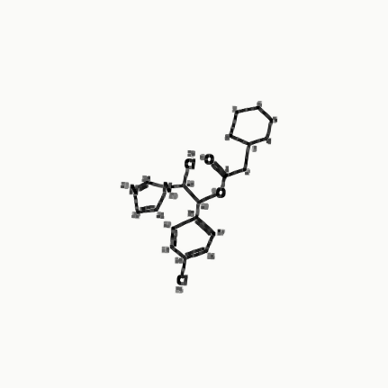 O=C(CC1CCCCC1)OC(c1ccc(Cl)cc1)C(Cl)n1ccnc1